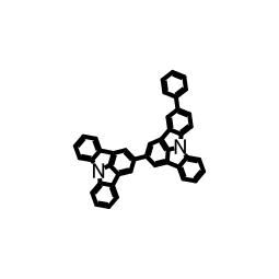 c1ccc(-c2ccc3c(c2)c2cc(-c4cc5c6ccccc6n6c7ccccc7c(c4)c56)cc4c5ccccc5n3c42)cc1